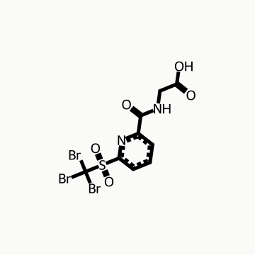 O=C(O)CNC(=O)c1cccc(S(=O)(=O)C(Br)(Br)Br)n1